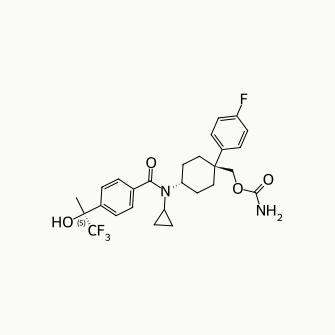 C[C@](O)(c1ccc(C(=O)N(C2CC2)[C@H]2CC[C@@](COC(N)=O)(c3ccc(F)cc3)CC2)cc1)C(F)(F)F